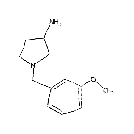 COc1cccc(CN2CCC(N)C2)c1